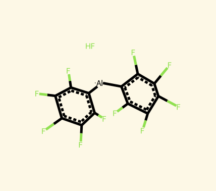 F.Fc1c(F)c(F)[c]([Al][c]2c(F)c(F)c(F)c(F)c2F)c(F)c1F